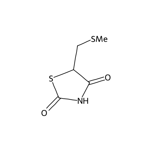 CSCC1SC(=O)NC1=O